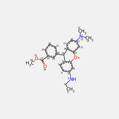 CCNc1ccc2c(c1)Oc1cc(N(C)C)ccc1C2c1cccc(C(=O)OC)c1